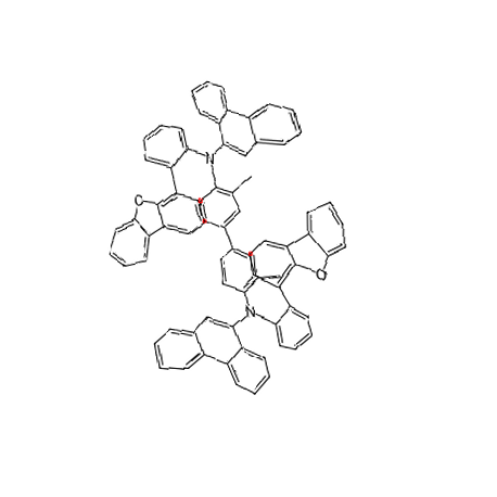 Cc1cc(-c2ccc(N(c3ccccc3-c3cccc4c3oc3ccccc34)c3cc4ccccc4c4ccccc34)c(C)c2)ccc1N(c1ccccc1-c1cccc2c1oc1ccccc12)c1cc2ccccc2c2ccccc12